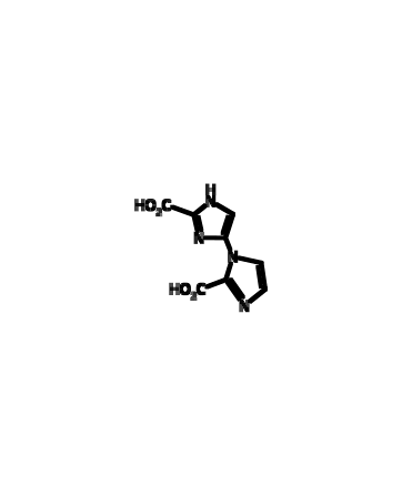 O=C(O)c1nc(-n2ccnc2C(=O)O)c[nH]1